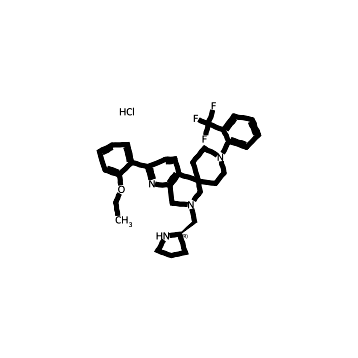 CCOc1ccccc1-c1ccc2c(n1)CN(C[C@H]1CCCN1)CC21CCN(c2ccccc2C(F)(F)F)CC1.Cl